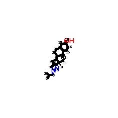 CC(C)Cn1cc2c(n1)[C@@]1(C)CCC3c4ccc(O)cc4CCC3C1C2